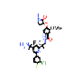 COc1cc(C(=O)NCC(C)(c2cc(C(C)(C)N)cc(-c3ccc(F)c(Cl)c3)n2)C(F)(F)F)ccc1O[C@@H]1CCNC1=O